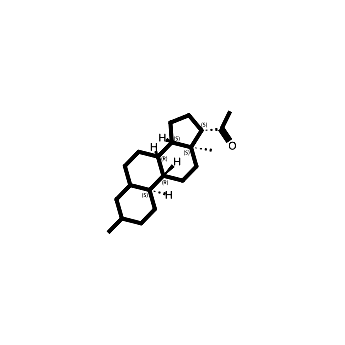 CC(=O)[C@H]1CC[C@H]2[C@@H]3CCC4CC(C)CC[C@@H]4[C@H]3CC[C@]12C